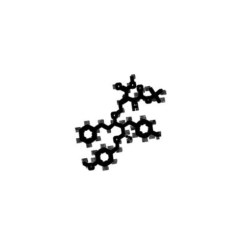 COC(=O)C(=CCO[C@H](CCc1ccccc1)[C@@H](Cc1ccc(F)cc1)[C@H](C)OCc1ccc(OC)cc1)NC(=O)OC(C)(C)C